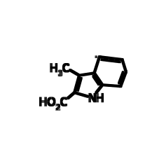 Cc1c(C(=O)O)[nH]c2ccc[c]c12